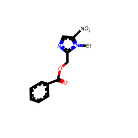 CCn1c([N+](=O)[O-])cnc1COC(=O)c1ccccc1